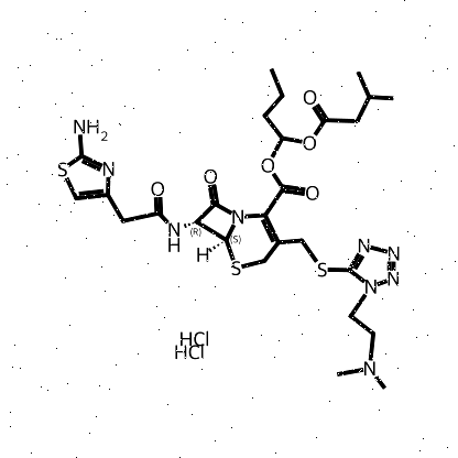 CCCC(OC(=O)CC(C)C)OC(=O)C1=C(CSc2nnnn2CCN(C)C)CS[C@H]2[C@H](NC(=O)Cc3csc(N)n3)C(=O)N12.Cl.Cl